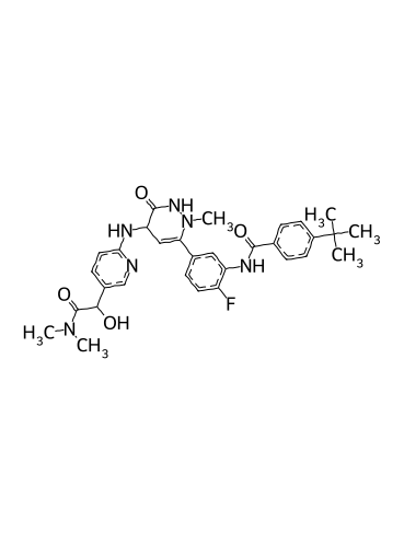 CN(C)C(=O)C(O)c1ccc(NC2C=C(c3ccc(F)c(NC(=O)c4ccc(C(C)(C)C)cc4)c3)N(C)NC2=O)nc1